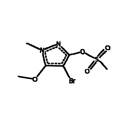 COc1c(Br)c(OS(C)(=O)=O)nn1C